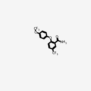 NC(=O)c1cc(C(F)(F)F)ccc1Oc1ccc(OC(F)(F)F)cc1